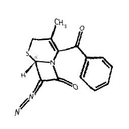 CC1=C(C(=O)c2ccccc2)N2C(=O)C(=[N+]=[N-])[C@@H]2SC1